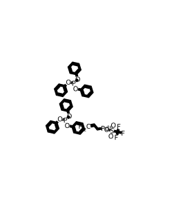 C=C[CH2][Pd+].O=S(=O)([O-])C(F)(F)F.c1ccc(OP(Oc2ccccc2)Oc2ccccc2)cc1.c1ccc(OP(Oc2ccccc2)Oc2ccccc2)cc1